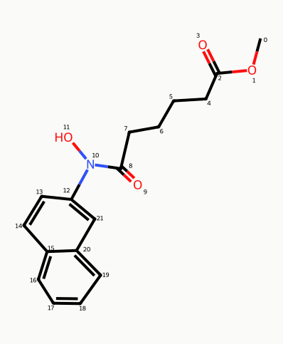 COC(=O)CCCCC(=O)N(O)c1ccc2ccccc2c1